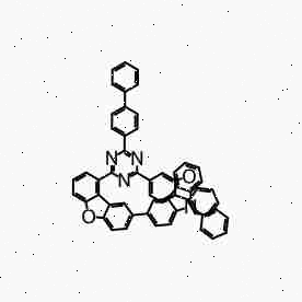 c1ccc(-c2ccc(-c3nc(-c4ccc5c(c4)oc4ccccc45)nc(-c4cccc5oc6ccc(-c7ccc8c(c7)c7ccccc7n8-c7ccccc7)cc6c45)n3)cc2)cc1